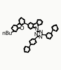 CCCCc1ccc2c(c1)oc1c(-c3ccc4c(c3)c3ccccc3n4-c3nc(-c4ccc(-c5ccccc5)cc4)nc(-c4cccc(-c5ccccc5)c4)n3)cccc12